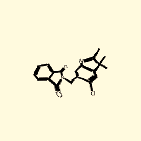 CC1=Nc2cc(CN3C(=O)c4ccccc4C3=O)c(Cl)cc2C1(C)C